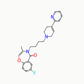 CC1=COc2ccc(F)cc2C(=O)N1CCCCN1CC=C(c2ccccn2)CC1